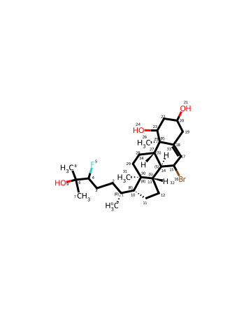 C[C@H](CCC(F)C(C)(C)O)[C@H]1CC[C@H]2[C@@H]3C(Br)C=C4CC(O)CC(O)[C@]4(C)[C@H]3CC[C@]12C